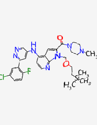 CN1CCN(C(=O)c2cc3c(Nc4cnnc(-c5cc(Cl)ccc5F)c4)ccnc3n2COCC[Si](C)(C)C)CC1